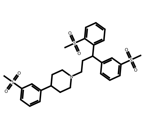 CS(=O)(=O)c1cccc(C2CCN(CCC(c3cccc(S(C)(=O)=O)c3)c3ccccc3S(C)(=O)=O)CC2)c1